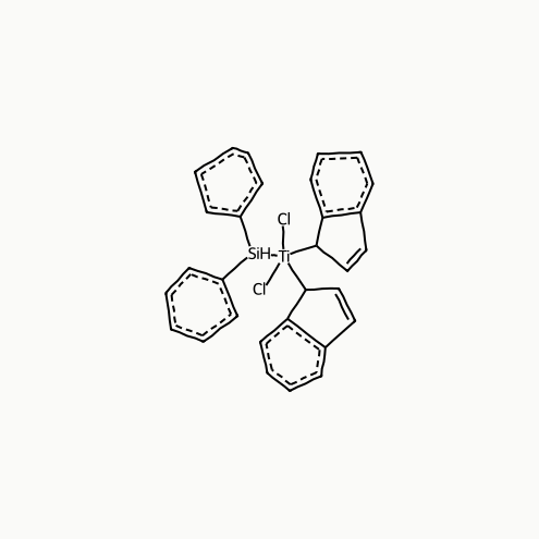 [Cl][Ti]([Cl])([CH]1C=Cc2ccccc21)([CH]1C=Cc2ccccc21)[SiH](c1ccccc1)c1ccccc1